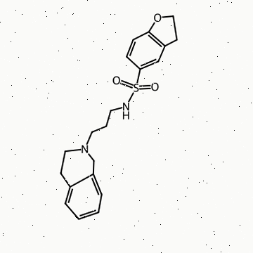 O=S(=O)(NCCCN1CCc2ccccc2C1)c1ccc2c(c1)CCO2